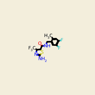 Cc1cc(F)c(F)cc1CNC(=O)C1SC(N)=NC1C(F)(F)F